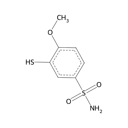 COc1ccc(S(N)(=O)=O)cc1S